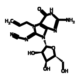 C=CCn1c(=NC#N)n([C@@H]2O[C@H](CO)[C@@H](O)[C@H]2O)c2nc(N)[nH]c(=O)c21